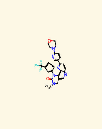 CN1Cc2cnc3ccc(-c4ccc(N5CCOCC5)nc4)nc3c2N(c2cccc(C(F)(F)F)c2)C1=O